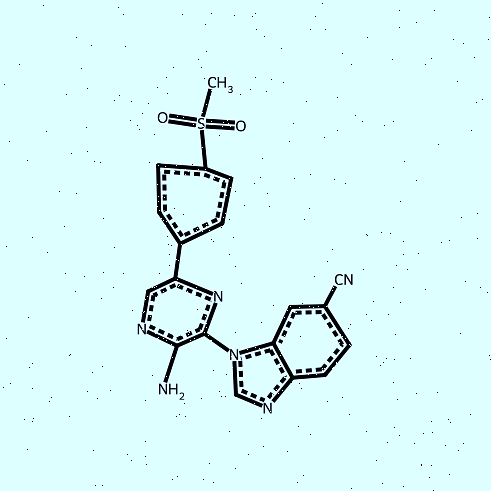 CS(=O)(=O)c1ccc(-c2cnc(N)c(-n3cnc4ccc(C#N)cc43)n2)cc1